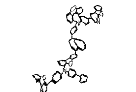 c1ccc(-c2ccc(N(c3ccc(-c4ccnc5c4sc4ccccc45)cc3)c3cccc4c3oc3ccc(-c5ccc(-c6ccc(N(c7ccc(-c8cnc9sc%10ccccc%10c9c8)cc7)c7cccc8oc9ccccc9c78)cc6)c6ccccc56)cc34)cc2)cc1